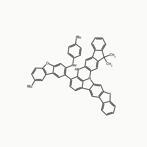 CC(C)(C)c1ccc(Nc2cc3oc4ccc(C(C)(C)C)cc4c3cc2-c2ccc3c4cc5c(cc4n4c3c2Bc2cc3c(cc2-4)C(C)(C)c2ccccc2-3)sc2ccccc25)cc1